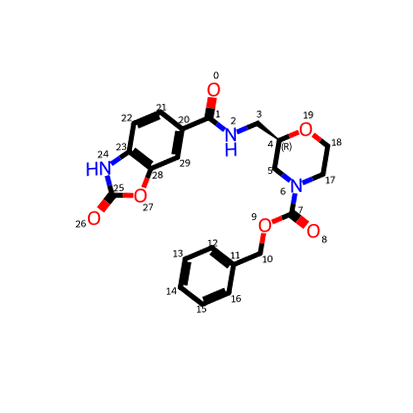 O=C(NC[C@@H]1CN(C(=O)OCc2ccccc2)CCO1)c1ccc2[nH]c(=O)oc2c1